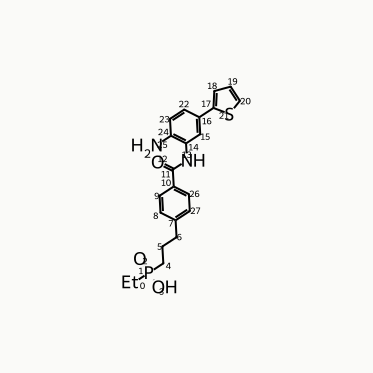 CCP(=O)(O)CCCc1ccc(C(=O)Nc2cc(-c3cccs3)ccc2N)cc1